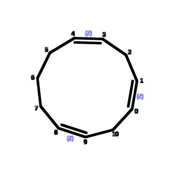 C1=C\C/C=C\CCC/C=C\C/1